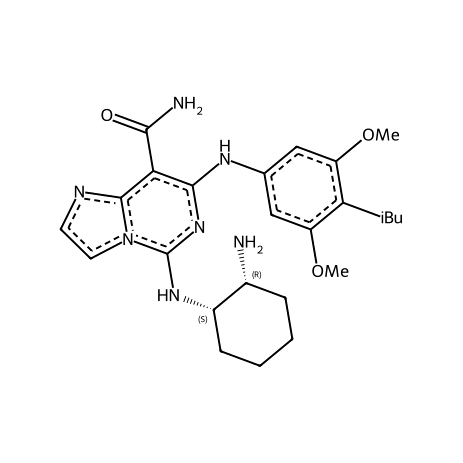 CCC(C)c1c(OC)cc(Nc2nc(N[C@H]3CCCC[C@H]3N)n3ccnc3c2C(N)=O)cc1OC